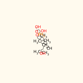 C#C[C@H](CCCC(C)(C)O)C1CC[C@@]2(C)C3CC=C4C(CC[C@H](O[C@H]5C[C@@H](O)C[C@@H](CO)O5)[C@@]4(C)P)[C@]3(C)CC[C@]12C